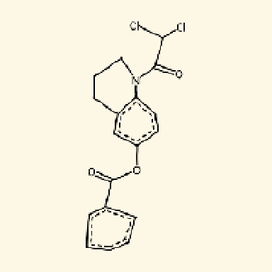 O=C(Oc1ccc2c(c1)CCCN2C(=O)C(Cl)Cl)c1ccccc1